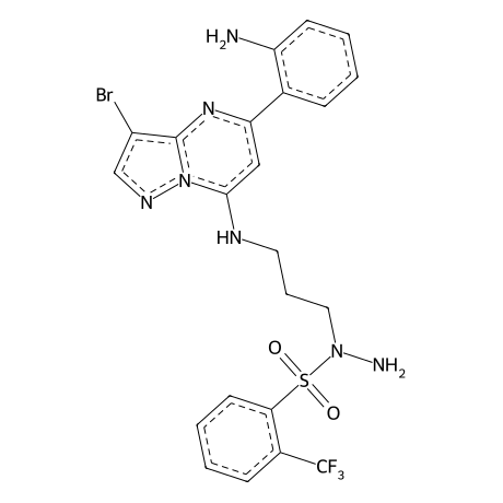 Nc1ccccc1-c1cc(NCCCN(N)S(=O)(=O)c2ccccc2C(F)(F)F)n2ncc(Br)c2n1